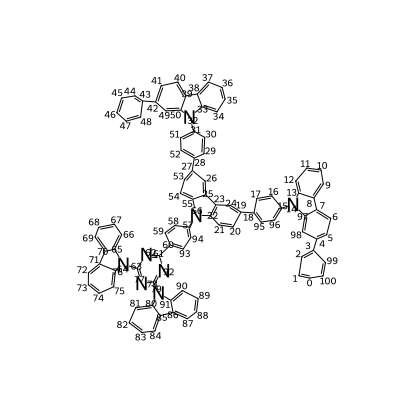 c1ccc(-c2ccc3c4ccccc4n(-c4ccc(-c5ccc6c(c5)c5cc(-c7ccc(-n8c9ccccc9c9ccc(-c%10ccccc%10)cc98)cc7)ccc5n6-c5ccc(-c6nc(-n7c8ccccc8c8ccccc87)nc(-n7c8ccccc8c8ccccc87)n6)cc5)cc4)c3c2)cc1